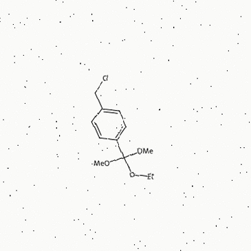 CCOC(OC)(OC)c1ccc(CCl)cc1